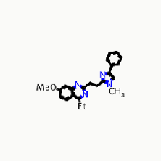 CCc1nc(CCc2nc(-c3ccccc3)cn2C)nc2cc(OC)ccc12